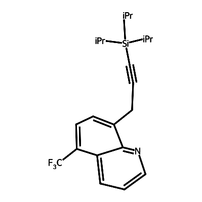 CC(C)[Si](C#CCc1ccc(C(F)(F)F)c2cccnc12)(C(C)C)C(C)C